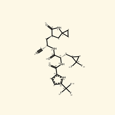 N#C[C@H](C[C@@H]1CC2(CC2)NC1=O)NC(=O)[C@H](CC1CC1(F)F)NC(=O)c1ccc(C(F)(F)F)[nH]1